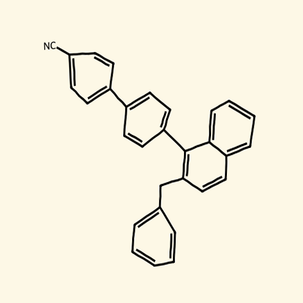 N#Cc1ccc(-c2ccc(-c3c(Cc4ccccc4)ccc4ccccc34)cc2)cc1